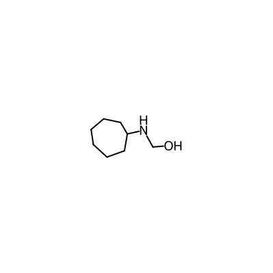 OCNC1CCCCCC1